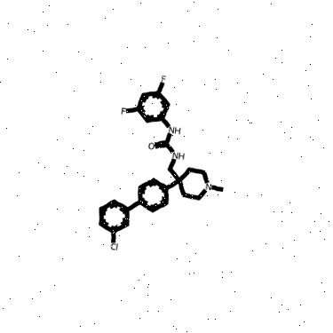 CN1CCC(CNC(=O)Nc2cc(F)cc(F)c2)(c2ccc(-c3cccc(Cl)c3)cc2)CC1